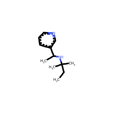 CCC(C)(C)NC(C)c1cccnc1